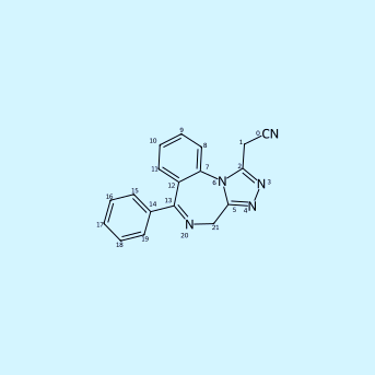 N#CCc1nnc2n1-c1ccccc1C(c1ccccc1)=NC2